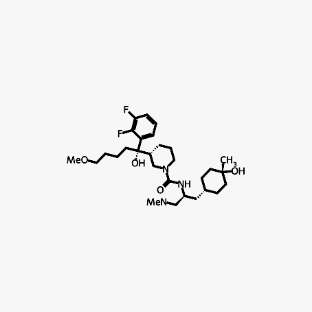 CNC[C@H](C[C@H]1CC[C@@](C)(O)CC1)NC(=O)N1CCC[C@@H]([C@@](O)(CCCCOC)c2cccc(F)c2F)C1